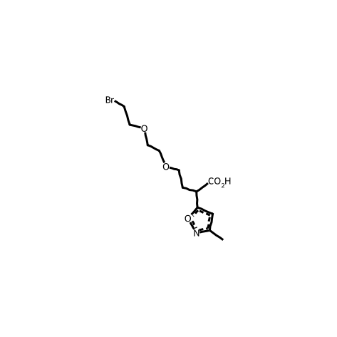 Cc1cc(C(CCOCCOCCBr)C(=O)O)on1